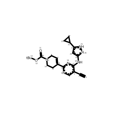 C#Cc1cnc(C2=CCN(C(=O)OC(C)(C)C)CC2)nc1Nc1cc(C2CC2)[nH]n1